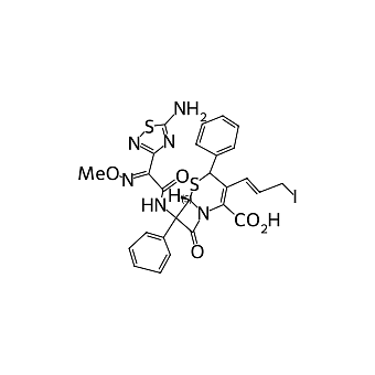 CON=C(C(=O)NC1(c2ccccc2)C(=O)N2C(C(=O)O)=C(C=CCI)C(c3ccccc3)S[C@H]21)c1nsc(N)n1